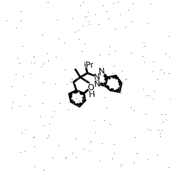 CC(C)C(n1nc2ccccc2n1)C(C)(C)[CH]c1ccccc1O